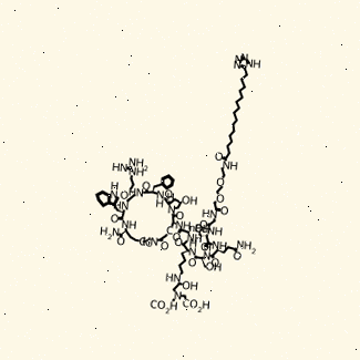 CCCC[C@H](NC(=O)[C@H](CCCCNC(O)CN(CC(=O)O)CC(=O)O)NC(=O)[C@H](CO)NC(=O)[C@H](CCC(N)=O)NC(=O)[C@H](CO)NC(=O)CNC(=O)COCCOCCNC(=O)CCCCCCCCCCCCCCCc1nnn[nH]1)C(=O)N[C@H]1CCC(=O)NCCCC[C@@H](C(N)=O)NC(=O)[C@@H](Cc2c[nH]c3ccccc23)NC(=O)[C@H](CCCNC(=N)N)NC(=O)[C@@H](Cc2ccccc2)NC(=O)[C@@H]2C[C@@H](O)CN2C1=O